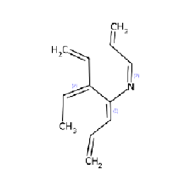 C=C\C=N/C(=C/C=C)C(/C=C)=C\C